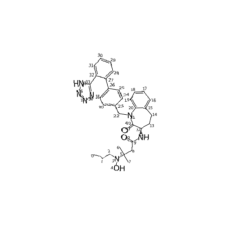 CCCN(O)C(C)(C)CC(=O)N[C@@H]1CCc2ccccc2N(Cc2ccc(-c3ccccc3-c3nnn[nH]3)cc2)C1=O